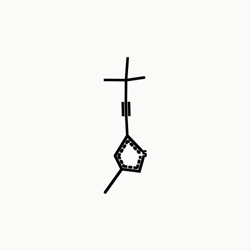 Cc1csc(C#CC(C)(C)C)c1